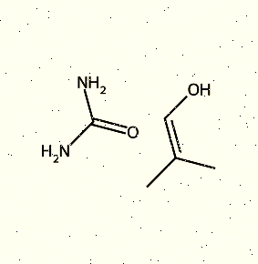 CC(C)=CO.NC(N)=O